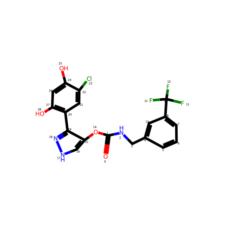 O=C(NCc1cccc(C(F)(F)F)c1)Oc1c[nH]nc1-c1cc(Cl)c(O)cc1O